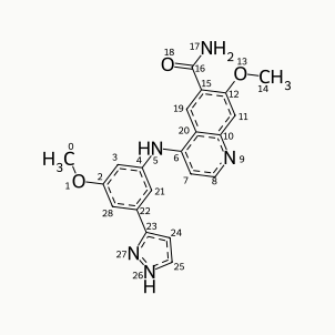 COc1cc(Nc2ccnc3cc(OC)c(C(N)=O)cc23)cc(-c2cc[nH]n2)c1